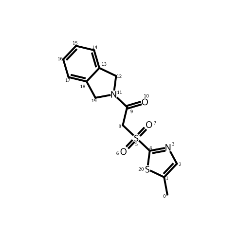 Cc1cnc(S(=O)(=O)CC(=O)N2Cc3ccccc3C2)s1